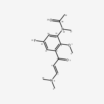 COc1c(C(=O)C=CN(C)C)cc(F)cc1N(C)C(C)=O